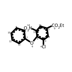 CCOC(=O)c1cc(Cl)c(Oc2ccccc2)c([N+](=O)[O-])c1